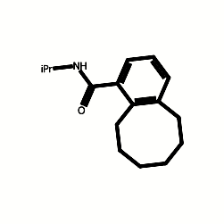 CC(C)NC(=O)c1cccc2c1CCCCCC2